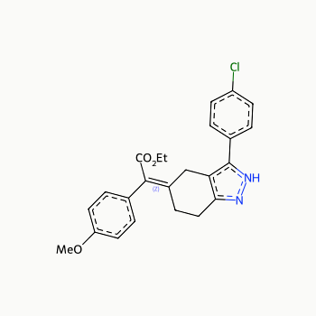 CCOC(=O)/C(=C1/CCc2n[nH]c(-c3ccc(Cl)cc3)c2C1)c1ccc(OC)cc1